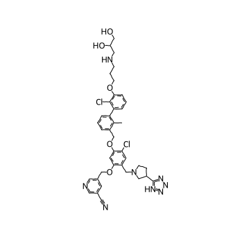 Cc1c(COc2cc(OCc3cncc(C#N)c3)c(CN3CCC(c4nnn[nH]4)C3)cc2Cl)cccc1-c1cccc(OCCCNCC(O)CO)c1Cl